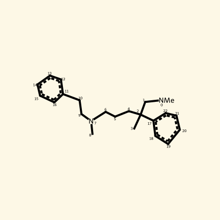 CNCC(C)(CCCN(C)CCc1ccccc1)c1ccccc1